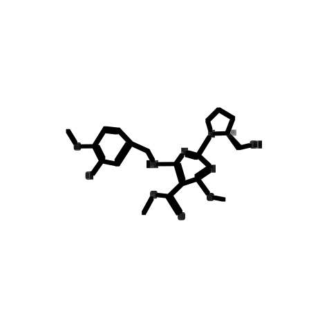 COC(=O)c1c(NCc2ccc(OC)c(Cl)c2)nc(N2CCC[C@H]2CO)nc1OC